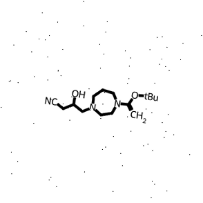 C=C(OC(C)(C)C)N1CCCN(CC(O)CC#N)CC1